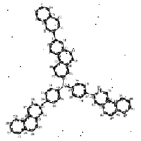 c1ccc2cc(-c3ccc4c(ccc5cc(N(c6ccc(-c7cc8ccc9ccccc9c8cn7)cc6)c6ccc(-c7cc8ccc9ccccc9c8cn7)cc6)ccc54)c3)ccc2c1